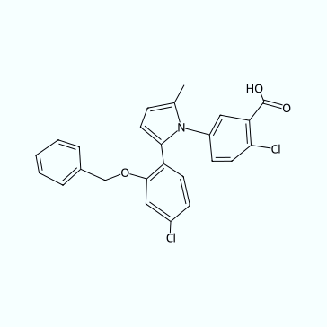 Cc1ccc(-c2ccc(Cl)cc2OCc2ccccc2)n1-c1ccc(Cl)c(C(=O)O)c1